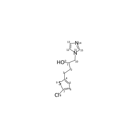 OC(CCc1ccc(Cl)s1)Cn1ccnc1